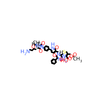 CC(=O)N[C@@H](CCCCN)C(=O)N(C(C)=O)c1ccc(-c2ccc(CN(C(=O)C(N)c3ccccc3)C3C(=O)N4C(C(=O)O)=C(COC(C)=O)CS[C@@H]34)c(=O)[nH]2)cc1